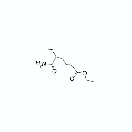 CCOC(=O)CCCC(CC)C(N)=O